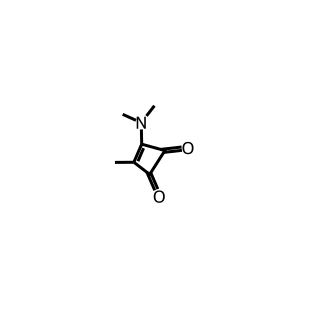 Cc1c(N(C)C)c(=O)c1=O